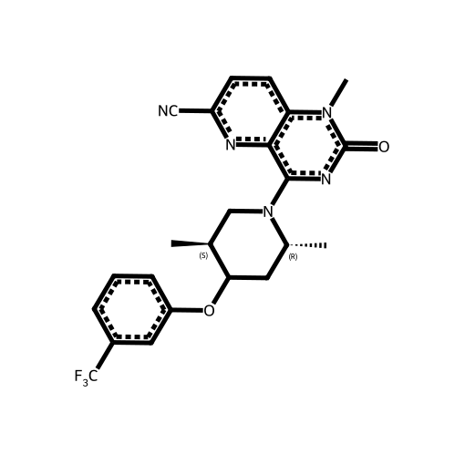 C[C@@H]1CC(Oc2cccc(C(F)(F)F)c2)[C@@H](C)CN1c1nc(=O)n(C)c2ccc(C#N)nc12